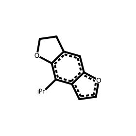 CC(C)c1c2c(cc3occc13)CCO2